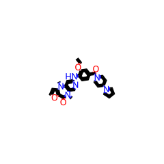 CCOc1cc(C(=O)N2CCC(N3CCCC3)CC2)ccc1Nc1cc2c(cn1)N(C)C(=O)c1occc1N2C